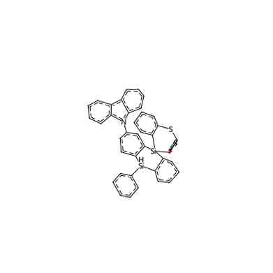 c1ccc([SiH]2c3ccccc3[Si]3(c4ccccc4Sc4ccccc43)c3cc(-n4c5ccccc5c5ccccc54)ccc32)cc1